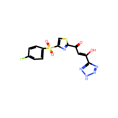 O=C(C=C(O)c1nn[nH]n1)c1nc(S(=O)(=O)c2ccc(F)cc2)cs1